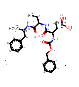 CC(C)CC(NC(=O)OCc1ccccc1)C(=O)NC(CC(C)C)C(=O)NC(Cc1ccccc1)C(=O)O.OBO